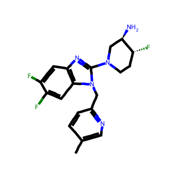 Cc1ccc(Cn2c(N3CC[C@@H](F)[C@H](N)C3)nc3cc(F)c(F)cc32)nc1